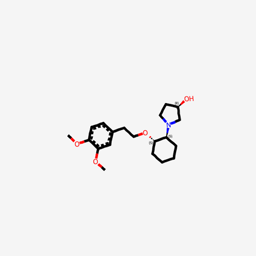 COc1ccc(CCO[C@H]2CCCC[C@@H]2N2CC[C@@H](O)C2)cc1OC